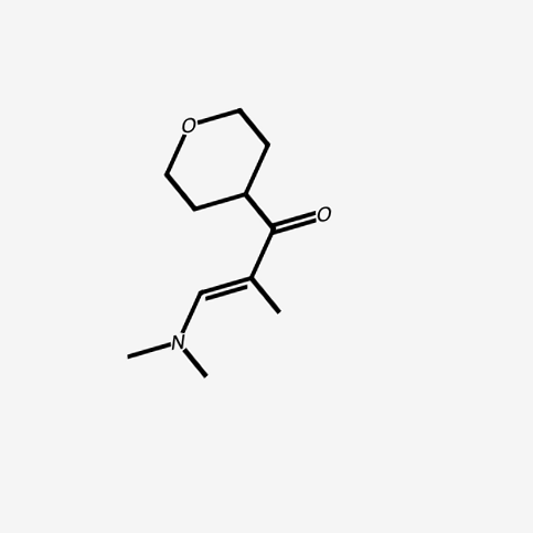 CC(=CN(C)C)C(=O)C1CCOCC1